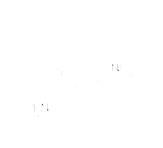 NC1CCCCC(N)(C2CCCCCC2)C1=O